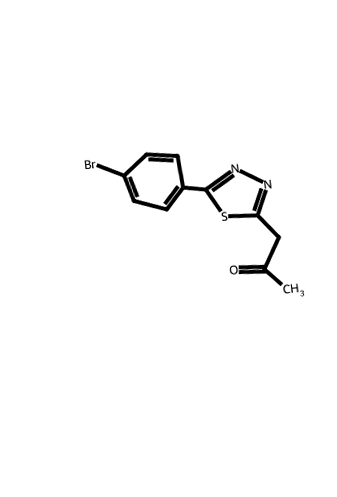 CC(=O)Cc1nnc(-c2ccc(Br)cc2)s1